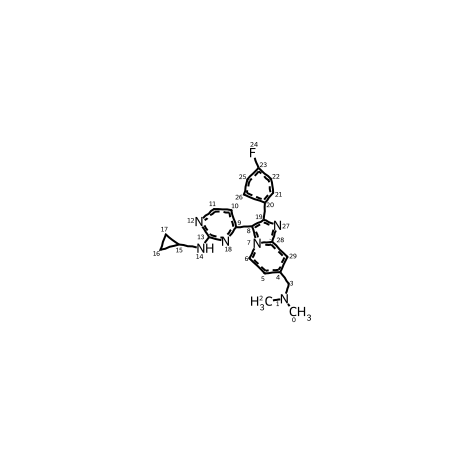 CN(C)Cc1ccn2c(-c3ccnc(NC4CC4)n3)c(-c3ccc(F)cc3)nc2c1